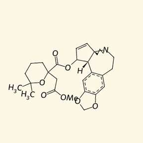 COC(=O)CC1(C(=O)OC2C=C[C@]34CCCN3CCc3cc5c(cc3[C@H]24)OCO5)CCCC(C)(C)O1